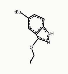 CC(C)(C)c1ccc2[nH]nc(OCI)c2c1